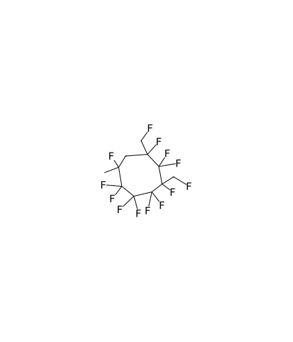 CC1(F)CC(F)(CF)C(F)(F)C(F)(CF)C(F)(F)C(F)(F)C1(F)F